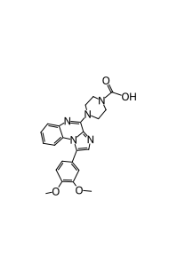 COc1ccc(-c2cnc3c(N4CCN(C(=O)O)CC4)nc4ccccc4n23)cc1OC